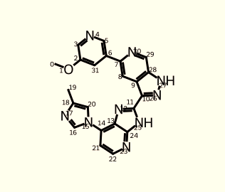 COc1cncc(-c2cc3c(-c4nc5c(-n6cnc(C)c6)ccnc5[nH]4)n[nH]c3cn2)c1